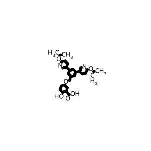 CC(C)Oc1ccc(-c2cc(COc3ccc(O)c(C(=O)O)c3)cc(-c3ccc(OC(C)C)nc3)c2)cn1